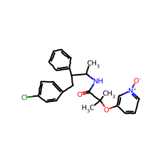 CC(NC(=O)C(C)(C)Oc1ccc[n+]([O-])c1)C(Cc1ccc(Cl)cc1)c1ccccc1